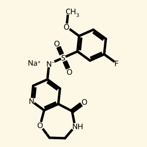 COc1ccc(F)cc1S(=O)(=O)[N-]c1cnc2c(c1)C(=O)NCCO2.[Na+]